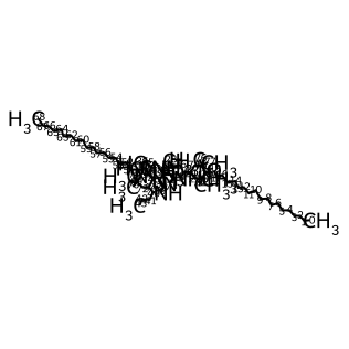 CCCCCCCCCCCCCCCCCCON1C(C)(C)CC(C(CCC)Nc2nc(NCCO)nc(NC(CCC)C3CC(C)(C)N(OCCCCCCCCCCCCCCCCCC)C(C)(C)C3)n2)CC1(C)C